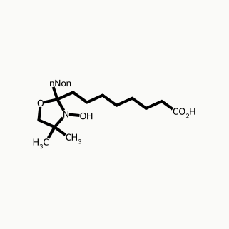 CCCCCCCCCC1(CCCCCCCC(=O)O)OCC(C)(C)N1O